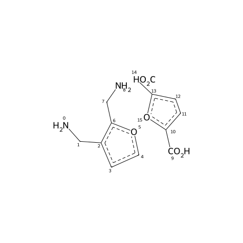 NCc1ccoc1CN.O=C(O)c1ccc(C(=O)O)o1